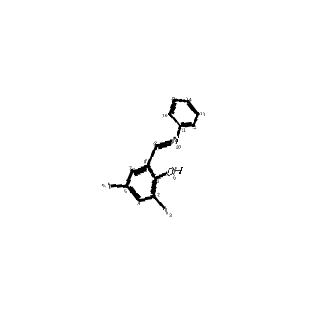 Oc1c(I)cc(I)cc1/C=N/c1ccccc1